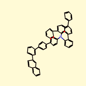 c1ccc(-c2ccc(-c3ccccc3N(c3ccc(-c4ccc(-c5cccc(-c6ccc7ccccc7c6)c5)cc4)cc3)c3ccccc3-c3ccccc3)cc2)cc1